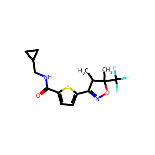 CC1C(c2ccc(C(=O)NCC3CC3)s2)=NOC1(C)C(F)(F)F